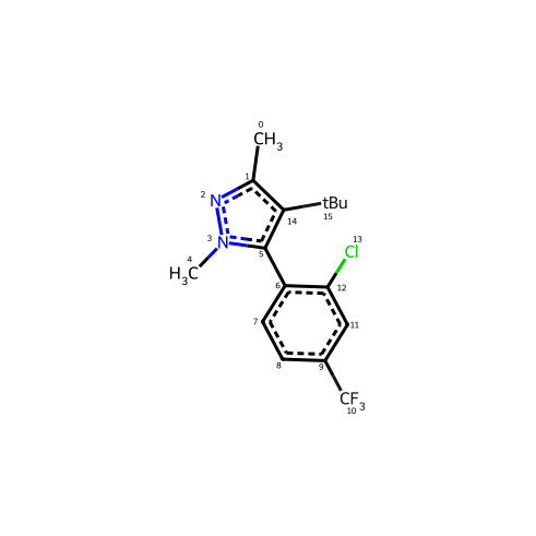 Cc1nn(C)c(-c2ccc(C(F)(F)F)cc2Cl)c1C(C)(C)C